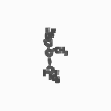 CCc1cc(C#Cc2cc(F)c(N=C=S)c(F)c2)ccc1-c1ccc(OC(F)(F)F)cc1